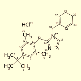 Cc1cc(C(C)(C)C)cc(C)c1Cc1nccn1CC1=CCCC=C1.Cl